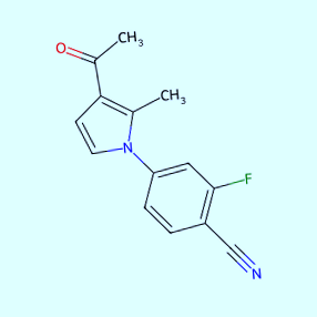 CC(=O)c1ccn(-c2ccc(C#N)c(F)c2)c1C